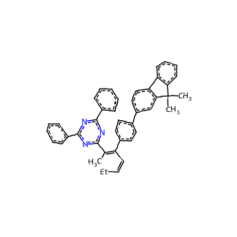 CC/C=C\C(=C(/C)c1nc(-c2ccccc2)nc(-c2ccccc2)n1)c1ccc(-c2ccc3c(c2)C(C)(C)c2ccccc2-3)cc1